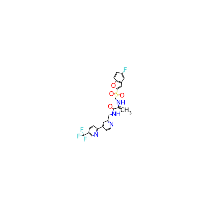 C[C@H](NCS(=O)(=O)c1cc2cc(F)ccc2o1)C(=O)NCc1cc(-c2ccc(C(F)(F)F)cn2)ccn1